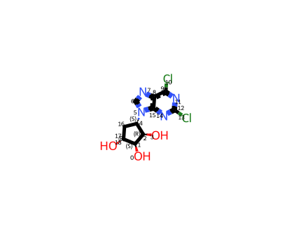 O[C@@H]1[C@H](O)[C@@H](n2cnc3c(Cl)nc(Cl)nc32)C[C@H]1O